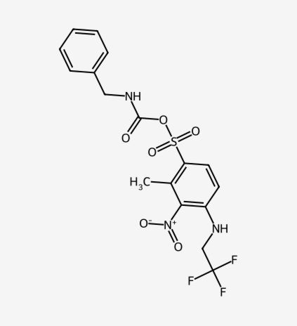 Cc1c(S(=O)(=O)OC(=O)NCc2ccccc2)ccc(NCC(F)(F)F)c1[N+](=O)[O-]